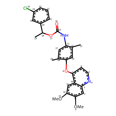 COc1cc2nccc(Oc3cc(C)c(NC(=O)OC(C)c4cccc(Cl)c4)cc3C)c2cc1OC